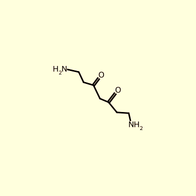 NCCC(=O)CC(=O)CCN